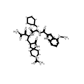 COc1cccc2[nH]c(C(=O)N[C@@H](CC3CCCCC3)C(=O)NC(CC3CC4(CCN(C(C)=O)CC4)NC3=O)C(=O)C(N)=O)cc12